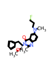 COC[C@H](Cc1ccccc1)n1c(C)nc2ccc(N(C)CCCF)cc2c1=O